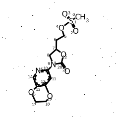 CS(=O)(=O)OCCC1CN(c2cc3c(cn2)OCCO3)C(=O)O1